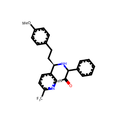 CNC(=O)C(N[C@H](CCc1ccc(OC)cc1)c1ccc(C(F)(F)F)nc1)c1ccccc1